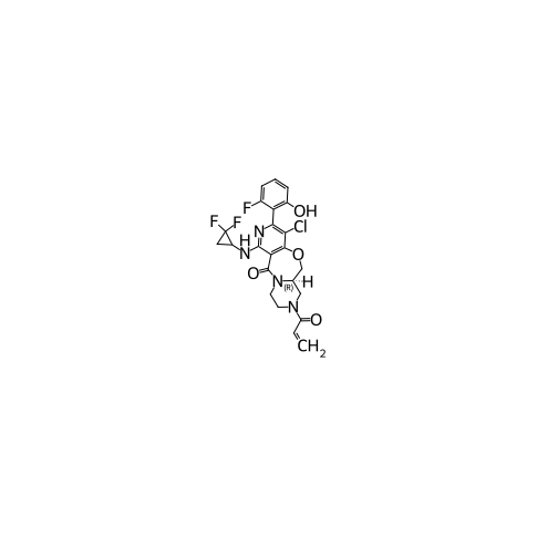 C=CC(=O)N1CCN2C(=O)c3c(NC4CC4(F)F)nc(-c4c(O)cccc4F)c(Cl)c3OC[C@H]2C1